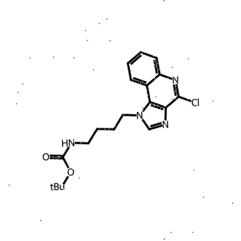 CC(C)(C)OC(=O)NCCCCn1cnc2c(Cl)nc3ccccc3c21